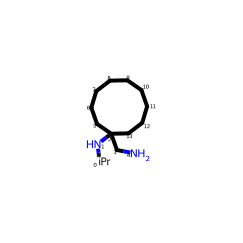 CC(C)NC1(CN)CCCCCCCCC1